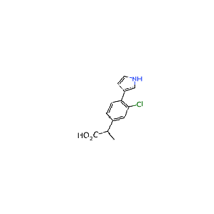 CC(C(=O)O)c1ccc(-c2cc[nH]c2)c(Cl)c1